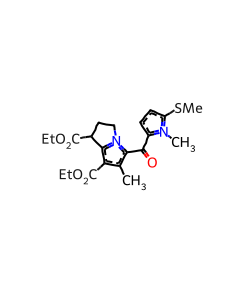 CCOC(=O)c1c(C)c(C(=O)c2ccc(SC)n2C)n2c1C(C(=O)OCC)CC2